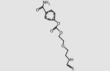 NC(=O)c1ccc(OC(=O)OCCOCCNC=S)cc1